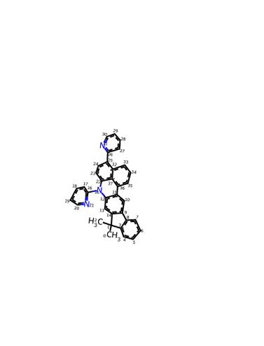 CC1(C)c2ccccc2-c2cc3c(cc21)N(c1ccccn1)c1ccc(-c2ccccn2)c2cccc-3c12